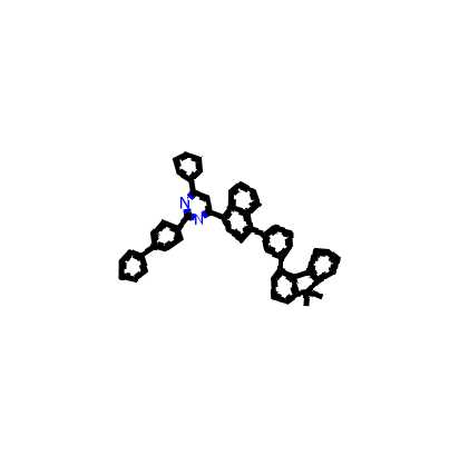 CC1(C)c2ccccc2-c2c(-c3cccc(-c4ccc(-c5cc(-c6ccccc6)nc(-c6ccc(-c7ccccc7)cc6)n5)c5ccccc45)c3)cccc21